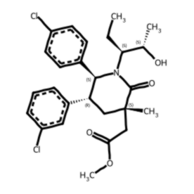 CC[C@@H]([C@H](C)O)N1C(=O)[C@](C)(CC(=O)OC)C[C@H](c2cccc(Cl)c2)[C@H]1c1ccc(Cl)cc1